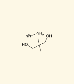 CC(C)(CO)CO.CCCN